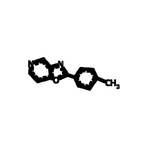 Cc1ccc(-c2nc3cnccc3o2)cc1